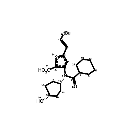 CC(C)(C)/C=C/c1cc(N(C(=O)C2CCCCC2)[C@H]2CC[C@@H](O)CC2)c(C(=O)O)s1